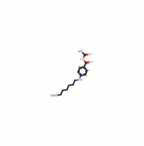 CCCCCCCCCCCCCCCCNc1ccc(C(=O)OC(=O)CCC)cc1